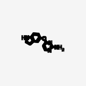 Nc1nccc(Oc2ccc3c(c2)CCN3)n1